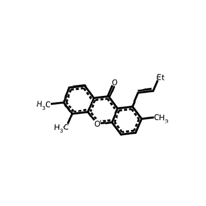 CCC=Cc1c(C)ccc2oc3c(C)c(C)ccc3c(=O)c12